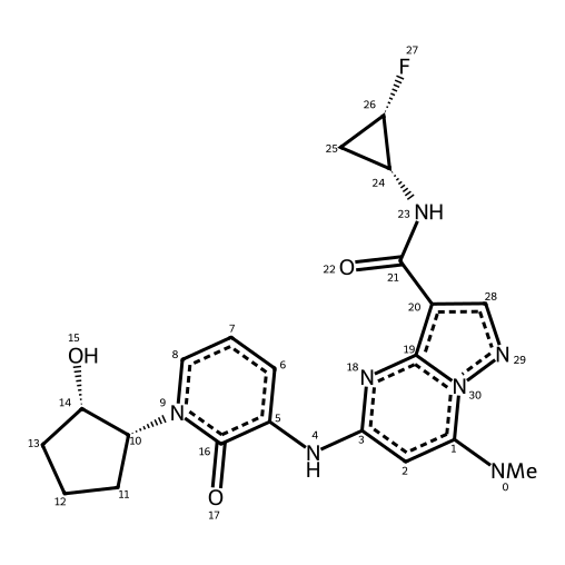 CNc1cc(Nc2cccn([C@@H]3CCC[C@@H]3O)c2=O)nc2c(C(=O)N[C@@H]3C[C@@H]3F)cnn12